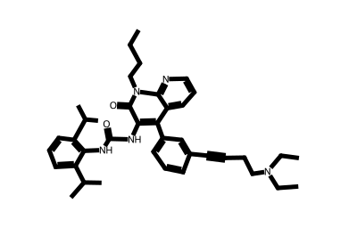 CCCCn1c(=O)c(NC(=O)Nc2c(C(C)C)cccc2C(C)C)c(-c2cccc(C#CCCN(CC)CC)c2)c2cccnc21